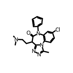 Cc1nnc2n1-c1ccc(Cl)cc1N(c1ccccc1)C(=O)C2CCN(C)C